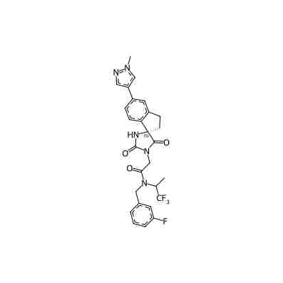 CC(N(Cc1cccc(F)c1)C(=O)CN1C(=O)N[C@]2(CCc3cc(-c4cnn(C)c4)ccc32)C1=O)C(F)(F)F